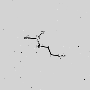 CCCC[SiH](Cl)NCCNC